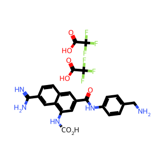 N=C(N)c1ccc2cc(C(=O)Nc3ccc(CN)cc3)cc(NC(=O)O)c2c1.O=C(O)C(F)(F)F.O=C(O)C(F)(F)F